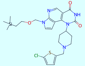 C[Si](C)(C)CCOCn1ccc2c1ncc1c(=O)[nH]c(=O)n(C3CCN(Cc4ccc(Cl)s4)CC3)c12